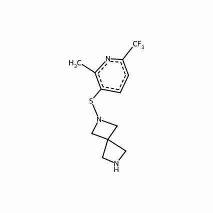 Cc1nc(C(F)(F)F)ccc1SN1CC2(CNC2)C1